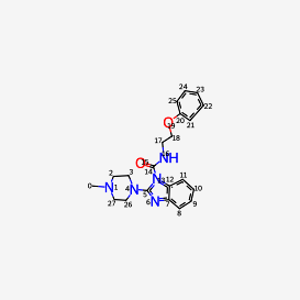 CN1CCN(c2nc3ccccc3n2C(=O)NCCOc2ccccc2)CC1